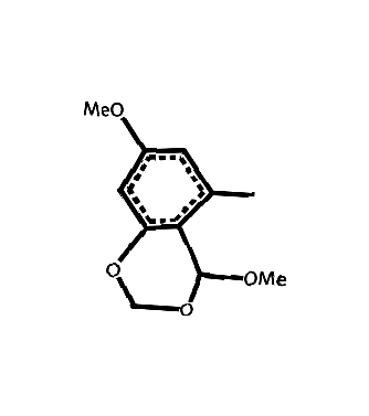 COc1cc(C)c2c(c1)OCOC2OC